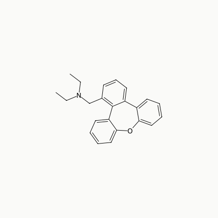 CCN(CC)Cc1cccc2c1-c1ccccc1Oc1ccccc1-2